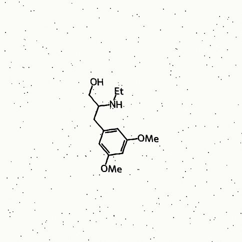 CCNC(CO)Cc1cc(OC)cc(OC)c1